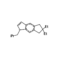 CCC1(CC)Cc2cc3c(cc2C1)[C](CC(C)C)C=C3